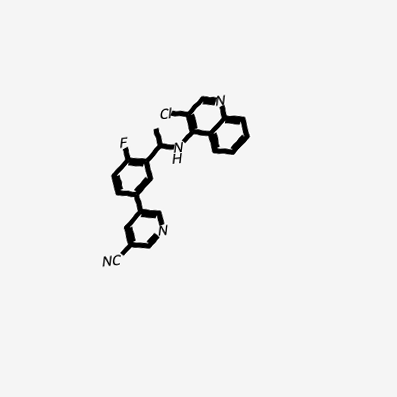 CC(Nc1c(Cl)cnc2ccccc12)c1cc(-c2cncc(C#N)c2)ccc1F